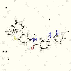 O=C(O)CC(Sc1ccc(NC(=O)c2cccc(NC3=CCCCN3)c2)cc1)c1ccccc1